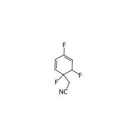 N#CCC1(F)C=CC(F)=CC1F